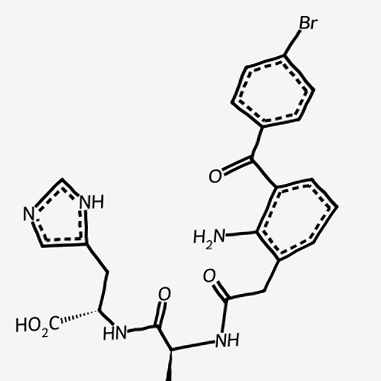 C[C@H](NC(=O)Cc1cccc(C(=O)c2ccc(Br)cc2)c1N)C(=O)N[C@@H](Cc1cnc[nH]1)C(=O)O